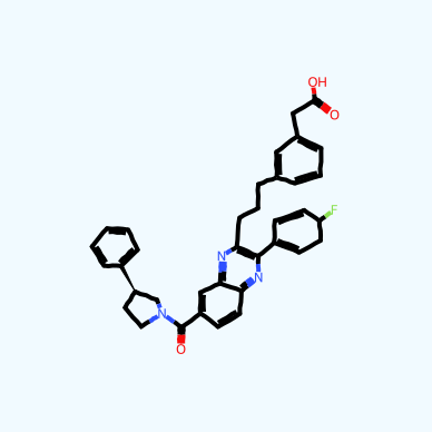 O=C(O)Cc1cccc(CCCc2nc3cc(C(=O)N4CC[C@@H](c5ccccc5)C4)ccc3nc2C2=CCC(F)C=C2)c1